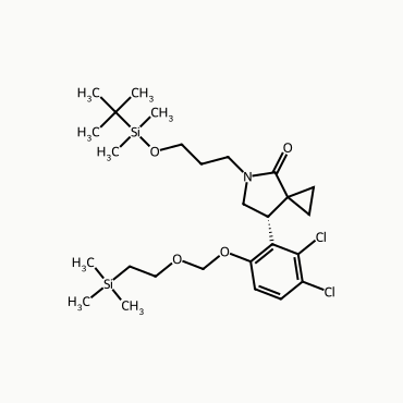 CC(C)(C)[Si](C)(C)OCCCN1C[C@@H](c2c(OCOCC[Si](C)(C)C)ccc(Cl)c2Cl)C2(CC2)C1=O